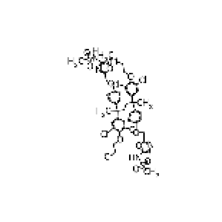 Cc1oc(COc2ccc(C(C)(CCC(C)(c3ccc(OCc4ncc(NS(C)(=O)=O)o4)cc3)c3cc(Cl)c(OCCCl)c(Cl)c3)c3cc(Cl)c(OCCCl)c(Cl)c3)cc2)nc1NS(C)(=O)=O